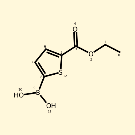 CCOC(=O)c1ccc(B(O)O)s1